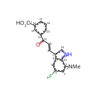 CNc1cc(F)cc2c(C=CC(=O)c3cccc(C(=O)O)c3)c[nH]c12